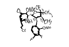 COc1c([C@H]2[C@H](c3[nH]c(CCl)cc(=O)c3OC)O[C@@](C)(C(F)(F)F)[C@H]2C)ccc(F)c1F